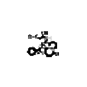 N#C[C@H](CC=O)NC(=O)[C@@H]1CCCN2C(=O)CC[C@H](NC(=O)c3ccccc3)C(=O)N12